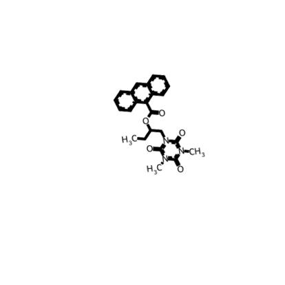 CCC(Cn1c(=O)n(C)c(=O)n(C)c1=O)OC(=O)c1c2ccccc2cc2ccccc12